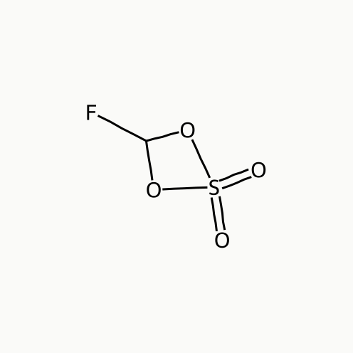 O=S1(=O)OC(F)O1